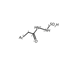 CC(=O)CC(=O)NNS(=O)(=O)O